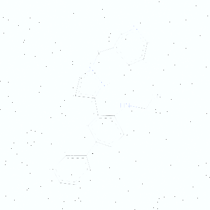 N#CCNc1ccc(-c2ccccc2)cc1-c1ccn(Cc2cccnc2)n1